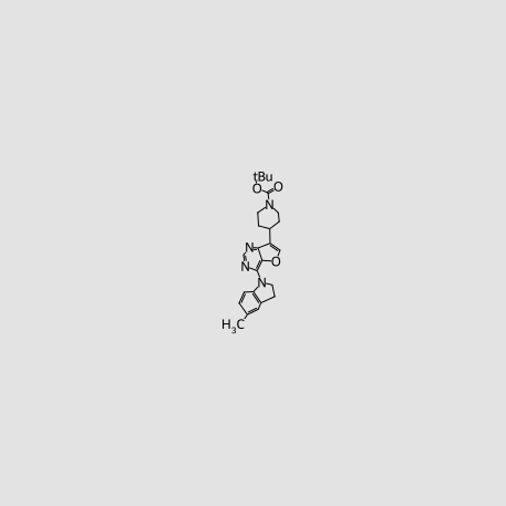 Cc1ccc2c(c1)CCN2c1ncnc2c(C3CCN(C(=O)OC(C)(C)C)CC3)coc12